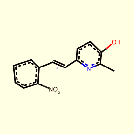 Cc1nc(/C=C/c2ccccc2[N+](=O)[O-])ccc1O